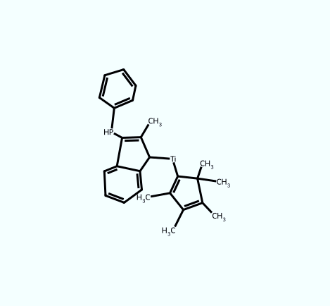 CC1=C(C)C(C)(C)[C]([Ti][CH]2C(C)=C(Pc3ccccc3)c3ccccc32)=C1C